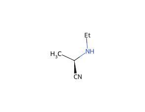 CCN[C@H](C)C#N